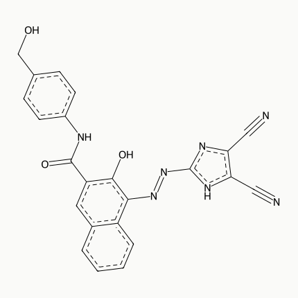 N#Cc1nc(/N=N/c2c(O)c(C(=O)Nc3ccc(CO)cc3)cc3ccccc23)[nH]c1C#N